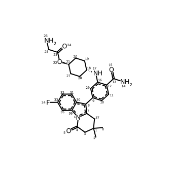 CC1(C)CC(=O)n2c(c(-c3ccc(C(N)=O)c(N[C@H]4CC[C@H](OC(=O)CN)CC4)c3)c3ccc(F)cc32)C1